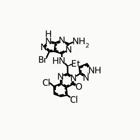 CC[C@H](Nc1nc(N)nc2[nH]nc(Br)c12)c1nc2c(Cl)ccc(Cl)c2c(=O)n1-c1cc[nH]n1